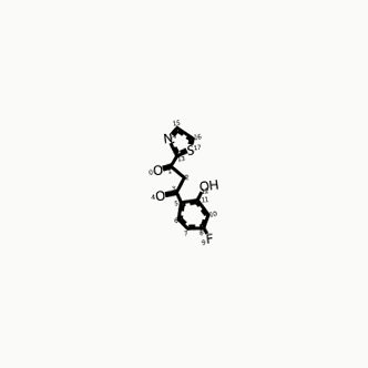 O=C(CC(=O)c1ccc(F)cc1O)c1nccs1